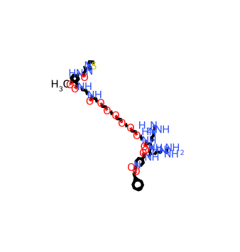 COc1ccc(NC(=O)c2cn3ccsc3n2)cc1C(=O)NCCCNC(=O)CCOCCOCCOCCOCCOCCOCCNC(=O)[C@H](CCCNC(=N)N)NC(=O)[C@H](CCCNC(=N)N)NC(=O)C1CCN(C(=O)OCC2C3CCC#CCCC32)CC1